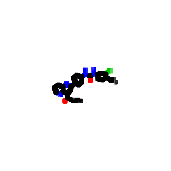 CNC(=O)c1cc(-c2ccc(NC(=O)Nc3ccc(C(F)(F)F)c(Cl)c3)cc2)nc2cccnc12